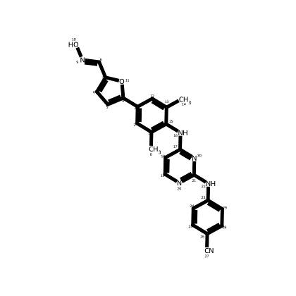 Cc1cc(-c2ccc(/C=N/O)o2)cc(C)c1Nc1ccnc(Nc2ccc(C#N)cc2)n1